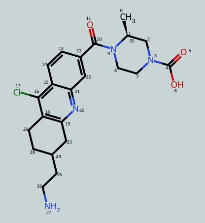 C[C@H]1CN(C(=O)O)CCN1C(=O)c1ccc2c(Cl)c3c(nc2c1)CC(CCN)CC3